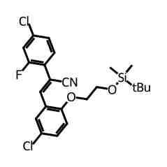 CC(C)(C)[Si](C)(C)OCCOc1ccc(Cl)cc1/C=C(\C#N)c1ccc(Cl)cc1F